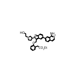 CCOC(=O)Cc1ccccc1OCc1c2cc(-c3ccc4ccnc(N)c4c3)ccc2nn1[C@H]1CCN(CCO)C1